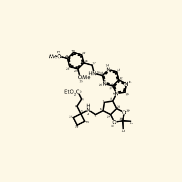 CCOC(=O)CCC1(NCC2CC(n3cnc4cnc(NCc5ccc(OC)cc5OC)nc43)C3OC(C)(C)OC23)CCC1